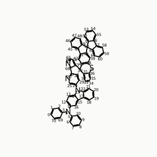 c1ccc(N(c2ccccc2)c2ccc3c(c2)c2ccccc2n3-c2cnc3c(c2)[C@]2(c4ccccc4Sc4cc5c(cc42)-c2ccccc2C52c4ccccc4-c4ccccc42)c2cccnc2-3)cc1